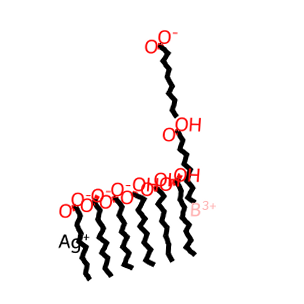 CCCCCCCCCC(=O)O.CCCCCCCCCC(=O)O.CCCCCCCCCC(=O)O.CCCCCCCCCC(=O)O.CCCCCCCCCC(=O)[O-].CCCCCCCCCC(=O)[O-].CCCCCCCCCC(=O)[O-].CCCCCCCCCC(=O)[O-].[Ag+].[B+3]